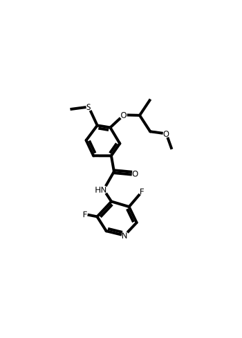 COCC(C)Oc1cc(C(=O)Nc2c(F)cncc2F)ccc1SC